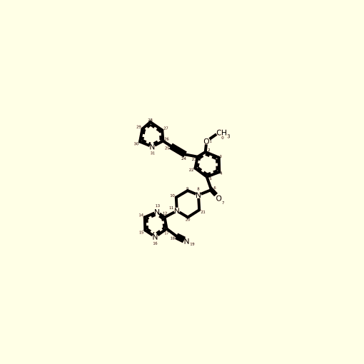 COc1ccc(C(=O)N2CCN(c3nccnc3C#N)CC2)cc1C#Cc1ccccn1